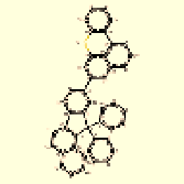 c1ccc(C2(c3ccccc3)c3cc(-c4cc5c6c(cccc6c4)-c4ccccc4S5)ccc3-c3ccc4ccccc4c32)cc1